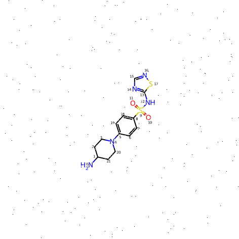 NC1CCN(c2ccc(S(=O)(=O)Nc3ncns3)cc2)CC1